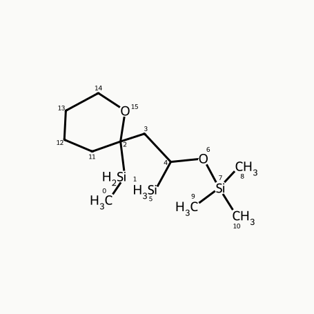 C[SiH2]C1(CC([SiH3])O[Si](C)(C)C)CCCCO1